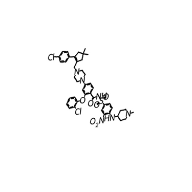 CN1CCC(Nc2ccc(S(=O)(=O)NC(=O)c3ccc(N4CCN(CC5=C(c6ccc(Cl)cc6)CC(C)(C)C5)CC4)cc3Oc3ccccc3Cl)cc2[N+](=O)[O-])CC1